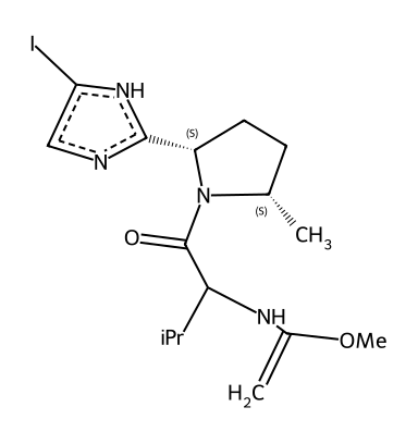 C=C(NC(C(=O)N1[C@@H](C)CC[C@H]1c1ncc(I)[nH]1)C(C)C)OC